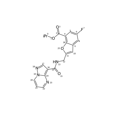 CC(C)OC(=O)c1cc(F)cc2cc(CNC(=O)c3cnn4cccnc34)oc12